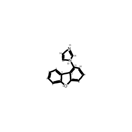 c1ccc2c(c1)oc1cccc(-n3ccnc3)c12